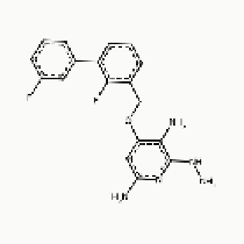 NNc1nc(N)cc(OCc2cccc(-c3cccc(F)c3)c2F)c1N